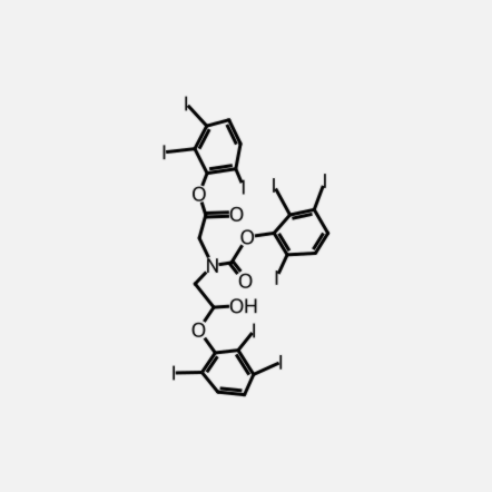 O=C(CN(CC(O)Oc1c(I)ccc(I)c1I)C(=O)Oc1c(I)ccc(I)c1I)Oc1c(I)ccc(I)c1I